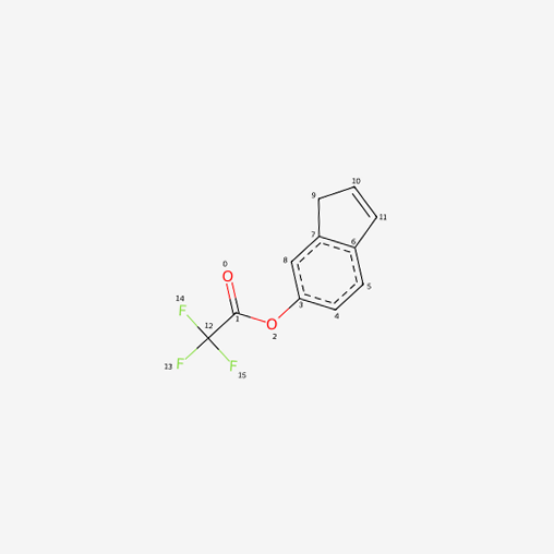 O=C(Oc1ccc2c(c1)CC=C2)C(F)(F)F